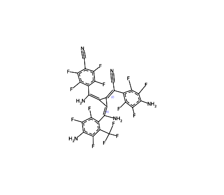 N#C/C(=C1\C(=C(N)c2c(F)c(F)c(C#N)c(F)c2F)\C1=C(\N)c1c(F)c(F)c(N)c(F)c1C(F)(F)F)c1c(F)c(F)c(N)c(F)c1F